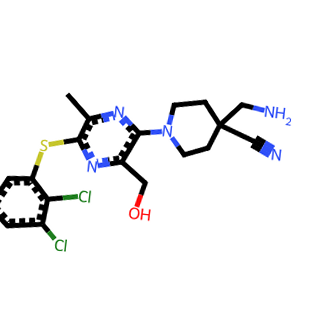 Cc1nc(N2CCC(C#N)(CN)CC2)c(CO)nc1Sc1cccc(Cl)c1Cl